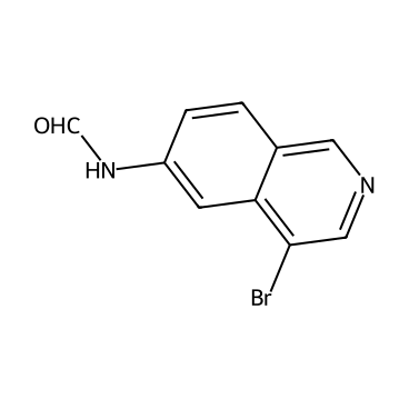 O=CNc1ccc2cncc(Br)c2c1